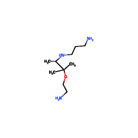 CC(NCCCN)C(C)(C)OCCN